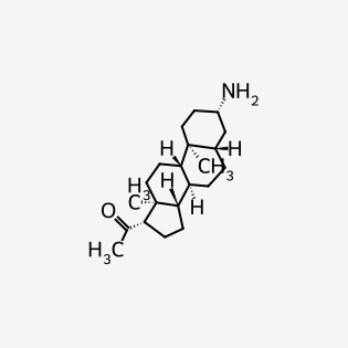 CC(=O)[C@H]1CC[C@H]2[C@@H]3CC[C@H]4C[C@@H](N)CC[C@]4(C)[C@H]3CC[C@]12C